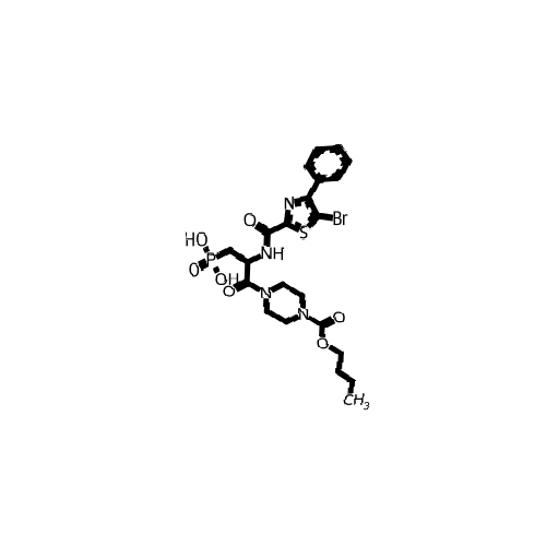 CCCCOC(=O)N1CCN(C(=O)C(CP(=O)(O)O)NC(=O)c2nc(-c3ccccc3)c(Br)s2)CC1